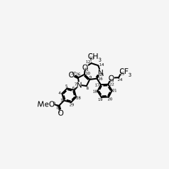 COC(=O)c1ccc(N2CC3=C(O[C@H](C)CN=C3c3ccccc3OCC(F)(F)F)C2=O)cc1